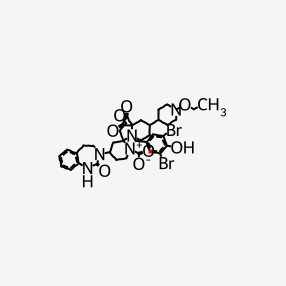 CCON1CCC(C2CCN(C3(CC=O)CC(N4CCc5ccccc5NC4=O)CC[N@+]3(Cc3cc(Br)c(O)c(Br)c3)C(=O)[O-])C3(C2)C(=O)C3=O)CC1